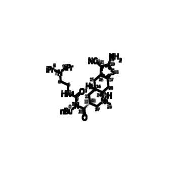 CCCCN(C(=O)NCCN(C(C)C)C(C)C)C(=O)[C@@H]1C[C@@H]2Cc3c(sc(N)c3C#N)C[C@H]2N(C)C1